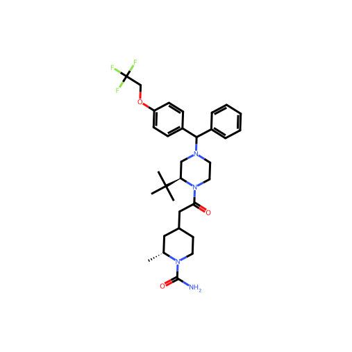 C[C@@H]1CC(CC(=O)N2CCN(C(c3ccccc3)c3ccc(OCC(F)(F)F)cc3)C[C@@H]2C(C)(C)C)CCN1C(N)=O